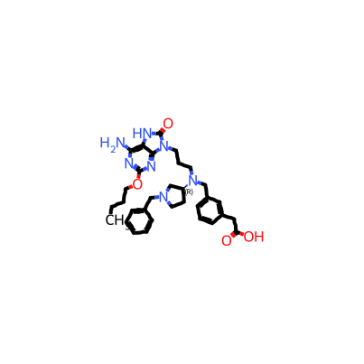 CCCCOc1nc(N)c2[nH]c(=O)n(CCCN(Cc3cccc(CC(=O)O)c3)[C@@H]3CCN(Cc4ccccc4)C3)c2n1